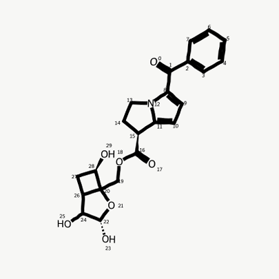 O=C(c1ccccc1)c1ccc2n1CC[C@@H]2C(=O)OCC12O[C@H](O)C(O)C1C[C@H]2O